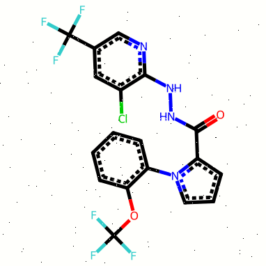 O=C(NNc1ncc(C(F)(F)F)cc1Cl)c1cccn1-c1ccccc1OC(F)(F)F